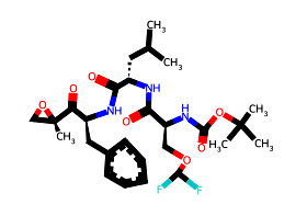 CC(C)C[C@H](NC(=O)[C@H](COC(F)F)NC(=O)OC(C)(C)C)C(=O)N[C@@H](Cc1ccccc1)C(=O)[C@]1(C)CO1